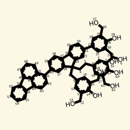 OCc1cc(CCC2(Cc3cc(CO)c(O)c(CO)c3)c3cc(-c4cc(CO)c(O)c(CO)c4)ccc3-c3ccc(-c4ccc5c6c(cccc46)-c4ccccc4-5)cc32)cc(CO)c1O